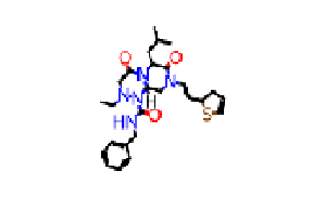 CCN1CC(=O)N2[C@@H](CC(C)C)C(=O)N(CCC3CC=CS3)C[C@@H]2N1C(=O)NCc1ccccc1